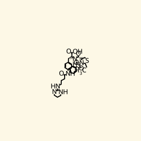 CCC1SC[C@@H](C(=O)N[C@@H](Cc2ccc(NC(=O)CCCNC3=NCCCN3)cc2)C(=O)O)N1S(=O)(=O)c1ccccc1